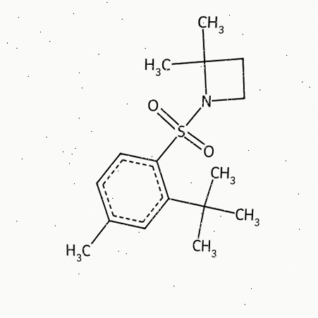 Cc1ccc(S(=O)(=O)N2CCC2(C)C)c(C(C)(C)C)c1